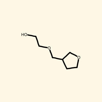 OCCOCC1CCOC1